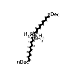 CCCCCCCCCCCCCCCCCCCCP(C)(C)(C)CCCCCCCCCCCCCCCCCCCC